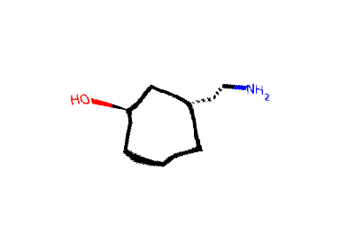 NC[C@@H]1CCC[C@@H](O)C1